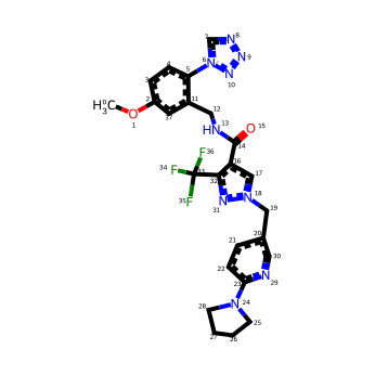 COc1ccc(-n2cnnn2)c(CNC(=O)c2cn(Cc3ccc(N4CCCC4)nc3)nc2C(F)(F)F)c1